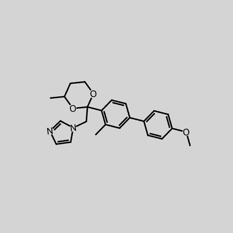 COc1ccc(-c2ccc(C3(Cn4ccnc4)OCCC(C)O3)c(C)c2)cc1